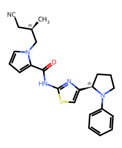 C[C@H](CC#N)Cn1cccc1C(=O)Nc1nc([C@H]2CCCN2c2ccccc2)cs1